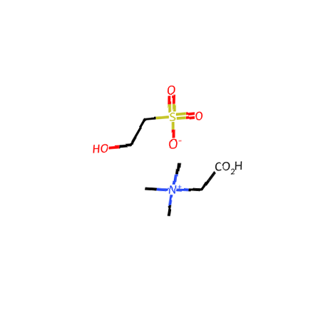 C[N+](C)(C)CC(=O)O.O=S(=O)([O-])CCO